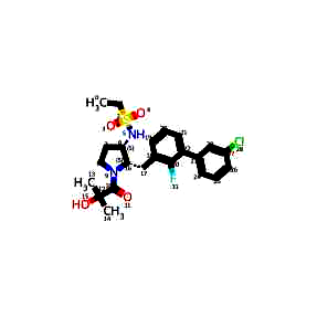 CCS(=O)(=O)N[C@H]1CCN(C(=O)C(C)(C)O)[C@H]1Cc1cccc(-c2cccc(Cl)c2)c1F